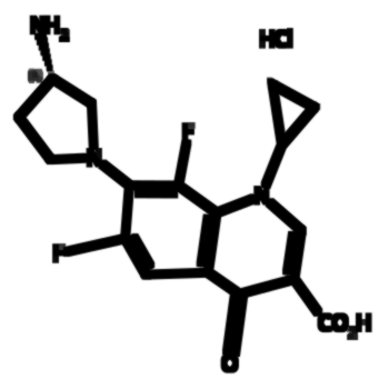 Cl.N[C@H]1CCN(c2c(F)cc3c(=O)c(C(=O)O)cn(C4CC4)c3c2F)C1